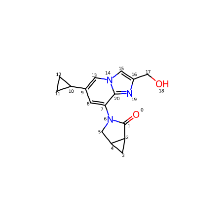 O=C1C2CC2CN1c1cc(C2CC2)cn2cc(CO)nc12